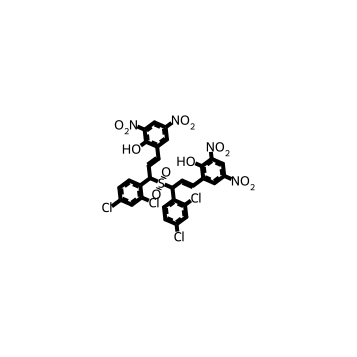 O=[N+]([O-])c1cc(C=CC(c2ccc(Cl)cc2Cl)S(=O)(=O)C(C=Cc2cc([N+](=O)[O-])cc([N+](=O)[O-])c2O)c2ccc(Cl)cc2Cl)c(O)c([N+](=O)[O-])c1